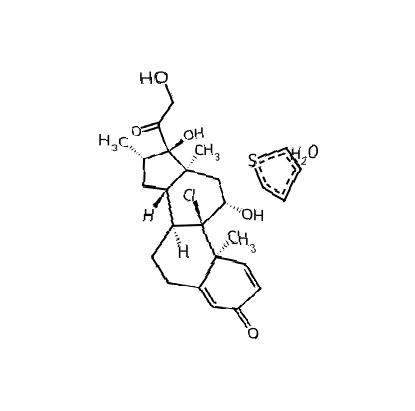 C[C@H]1C[C@H]2[C@@H]3CCC4=CC(=O)C=C[C@]4(C)[C@@]3(Cl)[C@@H](O)C[C@]2(C)[C@@]1(O)C(=O)CO.O.c1ccsc1